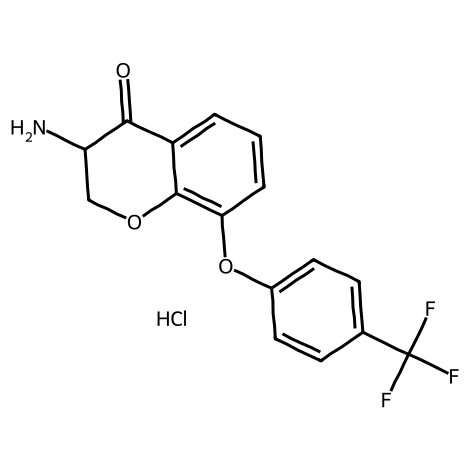 Cl.NC1COc2c(Oc3ccc(C(F)(F)F)cc3)cccc2C1=O